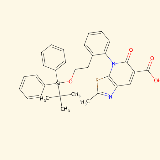 Cc1nc2cc(C(=O)O)c(=O)n(-c3ccccc3CCO[Si](c3ccccc3)(c3ccccc3)C(C)(C)C)c2s1